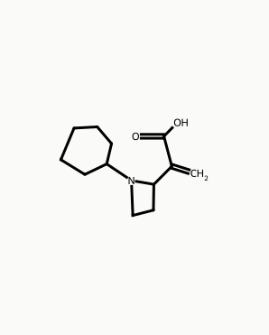 C=C(C(=O)O)C1CCN1C1CCCCC1